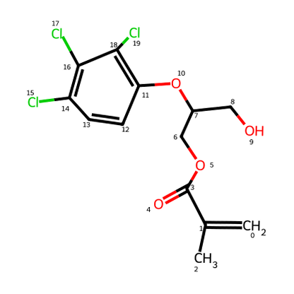 C=C(C)C(=O)OCC(CO)Oc1ccc(Cl)c(Cl)c1Cl